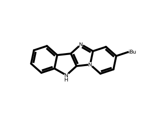 CCC(C)c1ccn2c(c1)nc1c3ccccc3[nH]c12